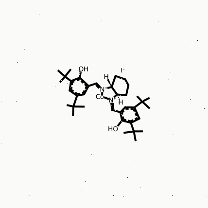 CC(C)(C)c1cc(C=[N+]2[Co][N+](=Cc3cc(C(C)(C)C)cc(C(C)(C)C)c3O)[C@@H]3CCCC[C@H]32)c(O)c(C(C)(C)C)c1.[I-]